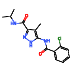 Cc1c(C(=O)NC(C)C)n[nH]c1NC(=O)c1ccccc1Cl